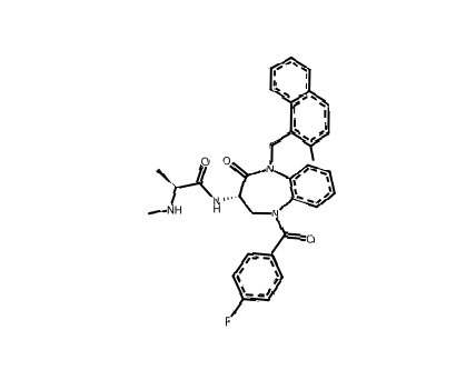 CN[C@@H](C)C(=O)N[C@H]1CN(C(=O)c2ccc(F)cc2)c2ccccc2N(Cc2c(C)ccc3ccccc23)C1=O